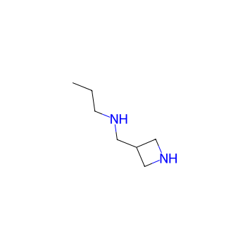 CCCNCC1CNC1